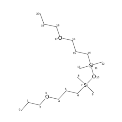 CCCOCCC[Si](C)(C)O[Si](C)(C)CCCOCCC